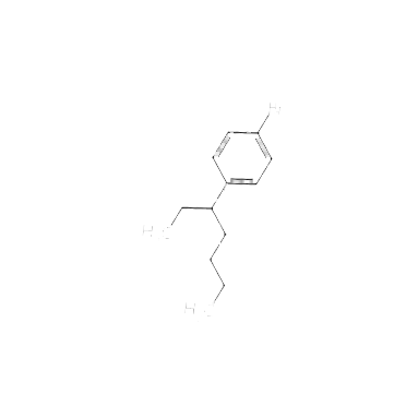 CCCCC(CC)c1ccc(Br)cc1